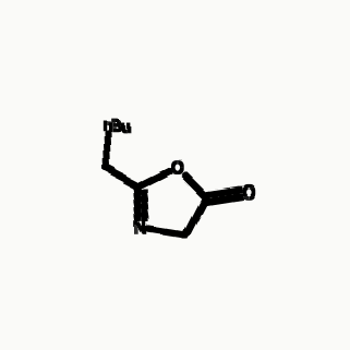 CCCCCC1=NCC(=O)O1